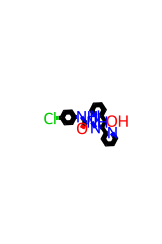 O=C(NN=C(c1ccccn1)C(O)c1ccccn1)Nc1ccc(Cl)cc1